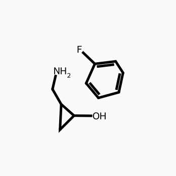 Fc1ccccc1.NCC1CC1O